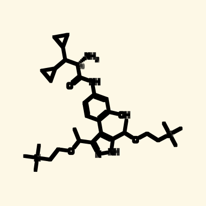 CC(OCC[Si](C)(C)C)c1n[nH]c(C(C)OCC[Si](C)(C)C)c1-c1ccc(NC(=O)[C@@H](N)C(C2CC2)C2CC2)cc1O